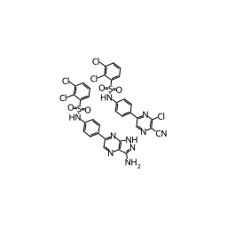 N#Cc1ncc(-c2ccc(NS(=O)(=O)c3cccc(Cl)c3Cl)cc2)nc1Cl.Nc1n[nH]c2nc(-c3ccc(NS(=O)(=O)c4cccc(Cl)c4Cl)cc3)cnc12